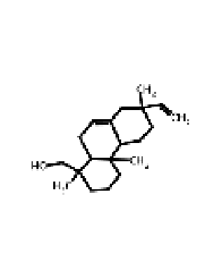 C=CC1(C)CCC2C(=CCC3C(C)(CO)CCCC23C)C1